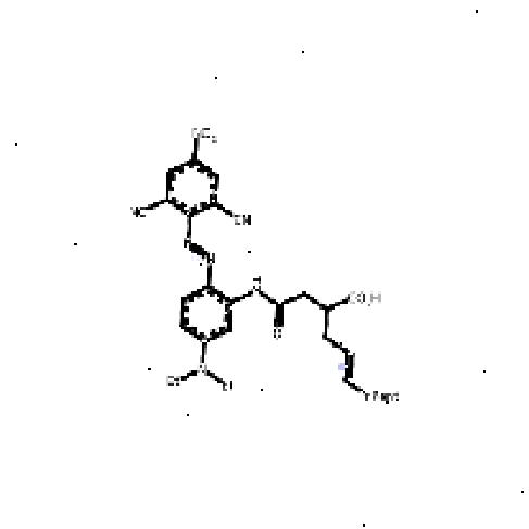 CCCCC/C=C/CC(CC(=O)Nc1cc(N(CC)CC)ccc1/N=N/c1c(C#N)cc([N+](=O)[O-])cc1C#N)C(=O)O